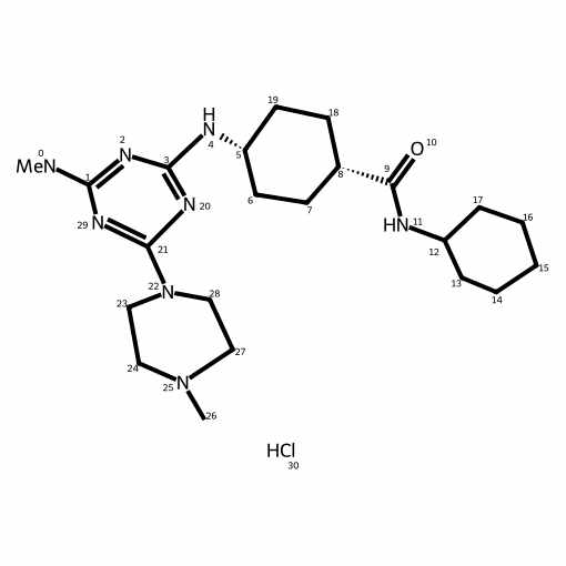 CNc1nc(N[C@H]2CC[C@@H](C(=O)NC3CCCCC3)CC2)nc(N2CCN(C)CC2)n1.Cl